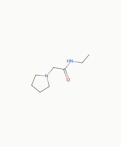 CCNC(=O)CN1CCCC1